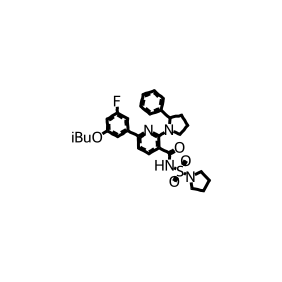 CC(C)COc1cc(F)cc(-c2ccc(C(=O)NS(=O)(=O)N3CCCC3)c(N3CCCC3c3ccccc3)n2)c1